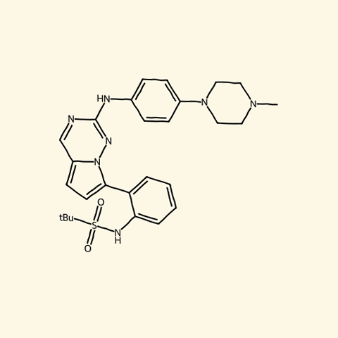 CN1CCN(c2ccc(Nc3ncc4ccc(-c5ccccc5NS(=O)(=O)C(C)(C)C)n4n3)cc2)CC1